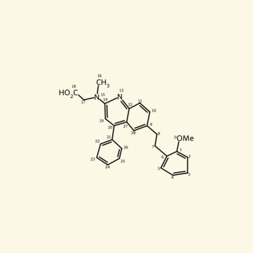 COc1ccccc1CCc1ccc2nc(N(C)CC(=O)O)cc(-c3ccccc3)c2c1